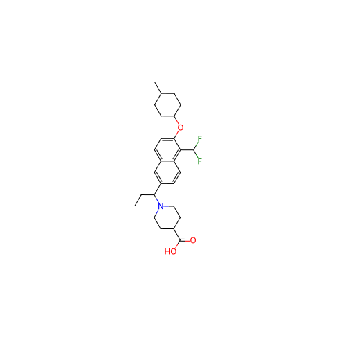 CCC(c1ccc2c(C(F)F)c(OC3CCC(C)CC3)ccc2c1)N1CCC(C(=O)O)CC1